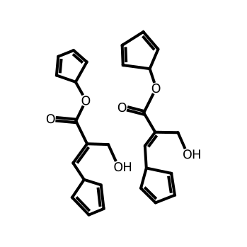 O=C(OC1C=CC=C1)C(=CC1C=CC=C1)CO.O=C(OC1C=CC=C1)C(=CC1C=CC=C1)CO